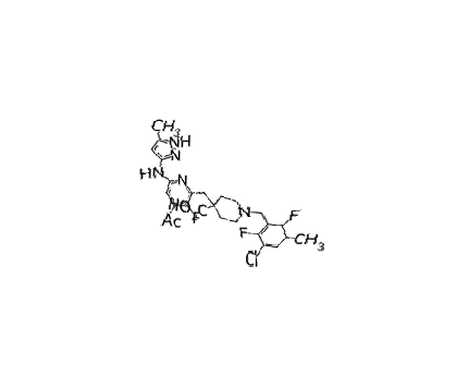 CC(=O)c1cc(Nc2cc(C)[nH]n2)nc(CC2(C(=O)O)CCN(CC3=C(F)C(Cl)=CC(C)C3F)CC2)c1F